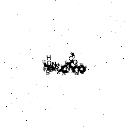 CCOC(=O)c1cc2cc(Cn3cc(C(O)(CC)C(F)(F)F)nn3)ccn2c1-c1cnc2ccccc2c1